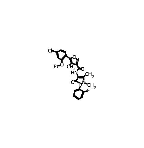 CCOc1cc(Cl)ccc1-c1onc(C(=O)Nc2c(C)n(C)n(-c3ccccc3F)c2=O)c1C